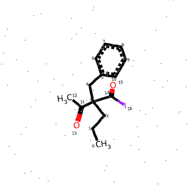 CCCC(Cc1ccccc1)(C(C)=O)C(=O)I